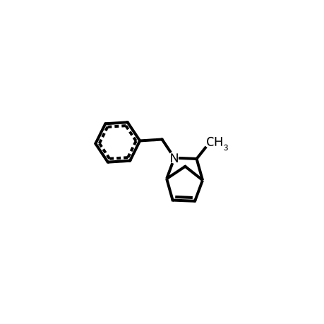 CC1C2C=CC(C2)N1Cc1ccccc1